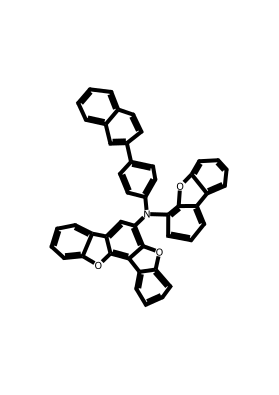 c1ccc2cc(-c3ccc(N(c4cccc5c4oc4ccccc45)c4cc5c6ccccc6oc5c5c4oc4ccccc45)cc3)ccc2c1